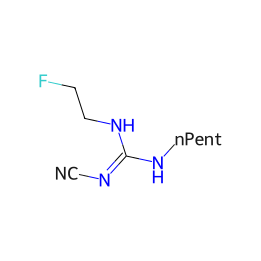 CCCCCNC(=NC#N)NCCF